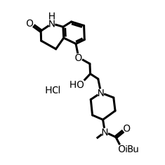 CC(C)COC(=O)N(C)C1CCN(CC(O)COc2cccc3c2CCC(=O)N3)CC1.Cl